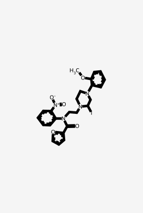 COc1ccccc1N1CCN(CCN(C(=O)c2ccco2)c2ccccc2[N+](=O)[O-])C(I)C1